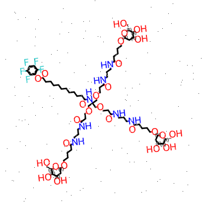 O=C(CCCCO[C@H]1C[C@@H](O)[C@@H](O)[C@@H](CO)O1)NCCCNC(=O)CCOCC(COCCC(=O)NCCCNC(=O)CCCCO[C@H]1C[C@@H](O)[C@@H](O)[C@@H](CO)O1)(COCCC(=O)NCCCNC(=O)CCCCO[C@H]1C[C@@H](O)[C@@H](O)[C@@H](CO)O1)NC(=O)CCCCCCCCCCC(=O)Oc1c(F)c(F)c(F)c(F)c1F